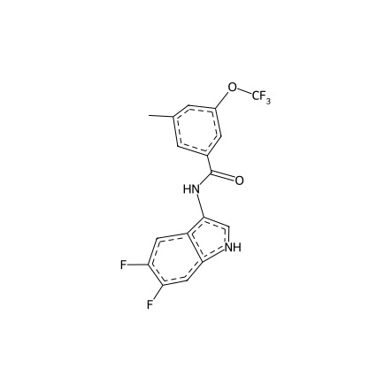 Cc1cc(OC(F)(F)F)cc(C(=O)Nc2c[nH]c3cc(F)c(F)cc23)c1